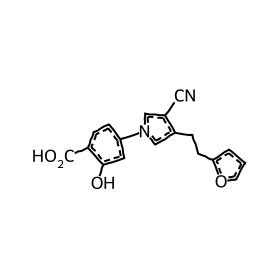 N#Cc1cn(-c2ccc(C(=O)O)c(O)c2)cc1CCc1ccco1